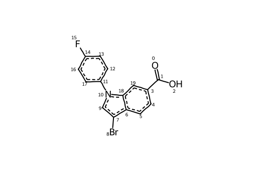 O=C(O)c1ccc2c(Br)cn(-c3ccc(F)cc3)c2c1